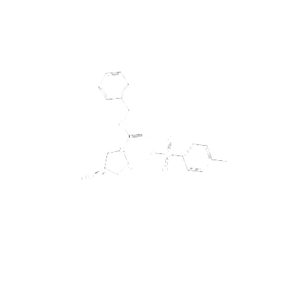 Cc1ccc(S(=O)(=O)OC[C@@H]2C[C@@H](O)CN2C(=O)OCc2ccccc2)cc1